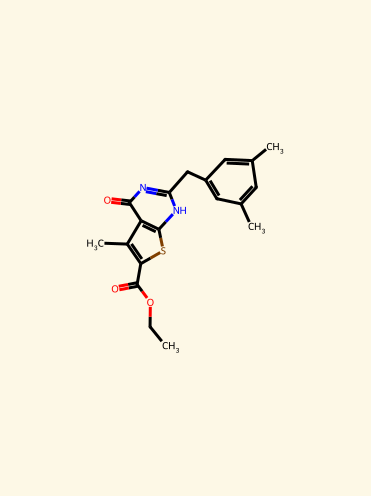 CCOC(=O)c1sc2[nH]c(Cc3cc(C)cc(C)c3)nc(=O)c2c1C